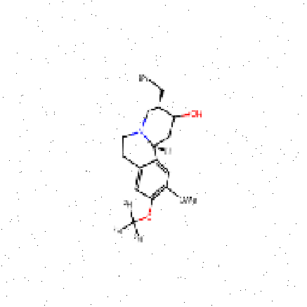 [2H]C([2H])([2H])Oc1cc2c(cc1OC)[C@H]1C[C@H](O)[C@H](CC(C)C)CN1CC2